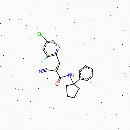 N#CC(=Cc1ncc(Cl)cc1F)C(=O)NC1(c2ccccc2)CCCC1